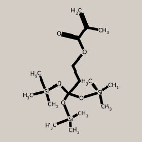 C=C(C)C(=O)OCCC(O[Si](C)(C)C)(O[Si](C)(C)C)O[Si](C)(C)C